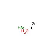 Br.O.[Ti].[Zr]